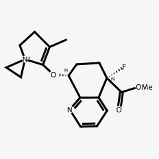 COC(=O)[C@]1(F)CC[C@@H](OC2=C(C)CC[N+]23CC3)c2ncccc21